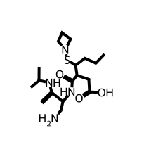 C=C(NC(C)C)C(CN)NC(=O)C(CC(=O)O)C(CCC)SN1CCC1